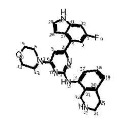 Fc1cc(-c2cc(N3CCOCC3)nc(Nc3cccc4c3CNCC4)n2)c2cc[nH]c2c1